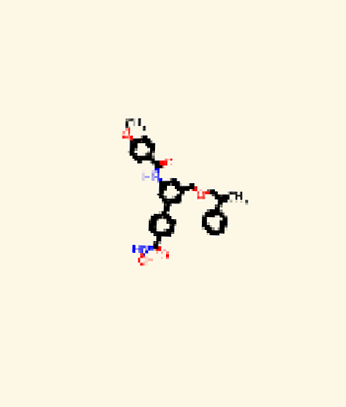 C=C(COCc1cc(NC(=O)c2ccc(OC)cc2)cc(-c2ccc(C(=O)NO)cc2)c1)c1ccccc1